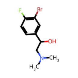 CN(C)CC(O)c1ccc(F)c(Br)c1